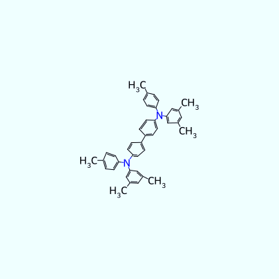 Cc1ccc(N(c2ccc(-c3ccc(N(c4ccc(C)cc4)c4cc(C)cc(C)c4)cc3)cc2)c2cc(C)cc(C)c2)cc1